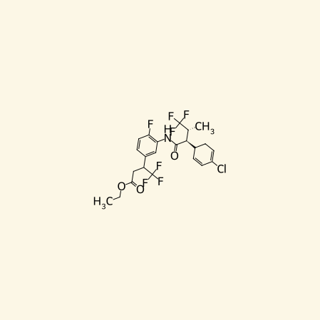 CCOC(=O)CC(c1ccc(F)c(NC(=O)[C@H](C2C=CC(Cl)=CC2)[C@@H](C)C(F)(F)F)c1)C(F)(F)F